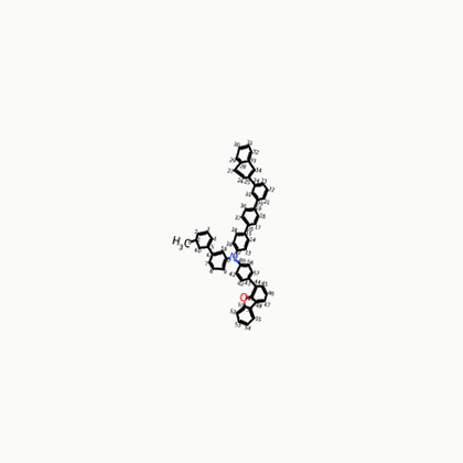 CC1C=CC=C(c2cccc(N(c3ccc(-c4ccc(-c5cccc(-c6ccc7ccccc7c6)c5)cc4)cc3)c3ccc(-c4cccc5c4oc4ccccc45)cc3)c2)C1